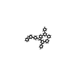 c1ccc(-c2cc(-c3ccccc3)cc(-c3ccc4c(c3)c(-c3cc(-c5ccccc5)cc(-c5ccccc5)c3)cn4-c3ccc(-c4ccc5sc6ccccc6c5c4)cc3)c2)cc1